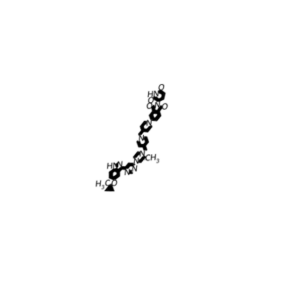 C[C@H]1CN(c2cc(-c3n[nH]c4ccc(OC5(C)CC5)cc34)ncn2)CCN1CC1CCN(CC2CCN(c3ccc4c(c3)C(=O)N(C3CCC(=O)NC3=O)C4=O)CC2)CC1